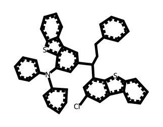 Clc1cc(C(CCc2ccccc2)c2cc(N(c3ccccc3)c3ccccc3)c3sc4ccccc4c3c2)c2sc3ccccc3c2c1